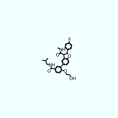 CNC(=O)C1c2cc(-c3cc(C(=O)NCC(C)C)ccc3OCCO)ccc2OC1c1ccc(F)cc1